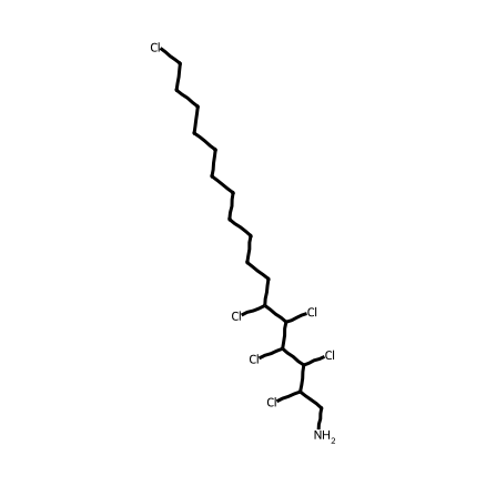 NCC(Cl)C(Cl)C(Cl)C(Cl)C(Cl)CCCCCCCCCCCCl